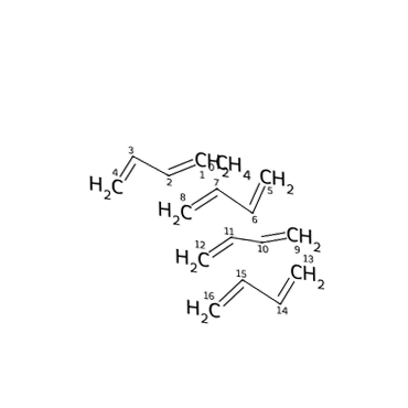 C.C=CC=C.C=CC=C.C=CC=C.C=CC=C